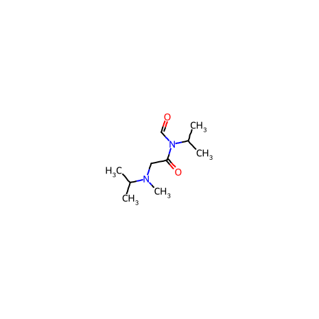 CC(C)N(C)CC(=O)N(C=O)C(C)C